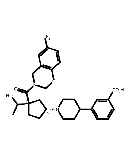 CC(O)[C@]1(C(=O)N2COc3ccc(C(F)(F)F)cc3C2)CC[C@@H](N2CCC(c3cccc(C(=O)O)c3)CC2)C1